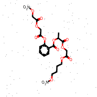 CC(OC(=O)c1ccccc1OC(=O)COC(=O)CO[N+](=O)[O-])C(=O)OCC(=O)OCCCCO[N+](=O)[O-]